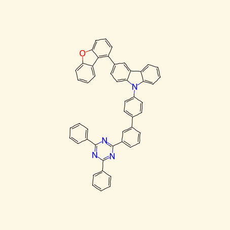 c1ccc(-c2nc(-c3ccccc3)nc(-c3cccc(-c4ccc(-n5c6ccccc6c6cc(-c7cccc8oc9ccccc9c78)ccc65)cc4)c3)n2)cc1